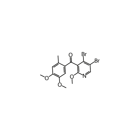 COc1cc(C)c(C(=O)c2c(OC)ncc(Br)c2Br)cc1OC